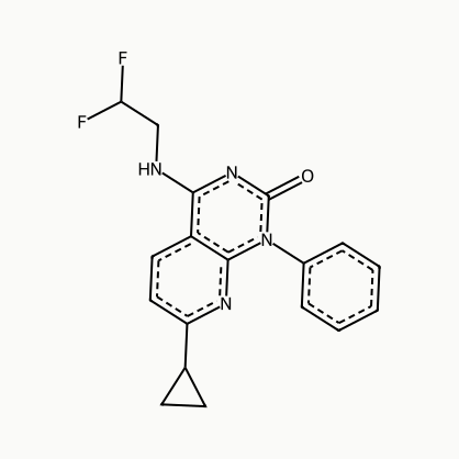 O=c1nc(NCC(F)F)c2ccc(C3CC3)nc2n1-c1ccccc1